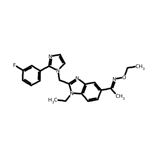 CCON=C(C)c1ccc2c(c1)nc(Cn1ccnc1-c1cccc(F)c1)n2CC